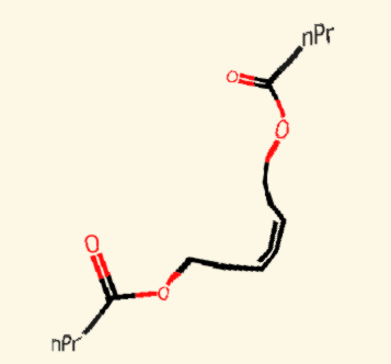 CCCC(=O)OC/C=C\COC(=O)CCC